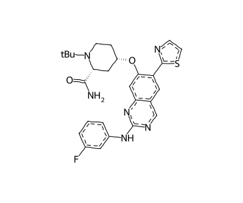 CC(C)(C)N1CC[C@H](Oc2cc3nc(Nc4cccc(F)c4)ncc3cc2-c2nccs2)C[C@@H]1C(N)=O